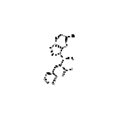 CC(c1cc2cccnc2cc1F)n1cnc2ncc(Br)nc21